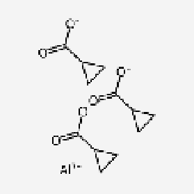 O=C([O-])C1CC1.O=C([O-])C1CC1.O=C([O-])C1CC1.[Al+3]